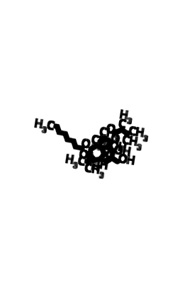 CCCCCCCC(=O)O[C@@]12C[C@@H](C)[C@]34C=C(C)[C@H](OC(=O)C(C)C(C)C)[C@@]3(O)[C@H](O)C(CO)=C[C@H](C4=O)[C@@H]1C2(C)C